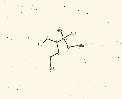 CCCCO[Si](O)(O)C(CS)CCS